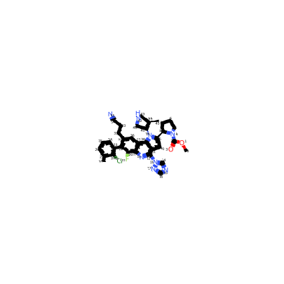 COC(=O)N1CCC[C@@H]1c1cc2c(-n3cncn3)nc3c(F)c(-c4cccc(C)c4Cl)c(CCC#N)cc3c2n1[C@@H]1CNC[C@H]1C